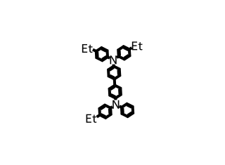 CCc1ccc(N(c2ccccc2)c2ccc(-c3ccc(N(c4ccc(CC)cc4)c4ccc(CC)cc4)cc3)cc2)cc1